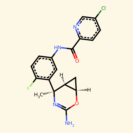 C[C@@]1(c2cc(NC(=O)c3ccc(Cl)cn3)ccc2F)N=C(N)O[C@@H]2C[C@@H]21